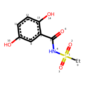 CCS(=O)(=O)NC(=O)c1cc(O)ccc1O